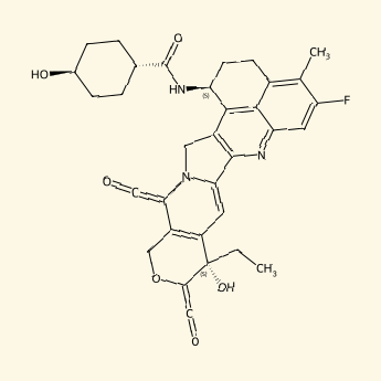 CC[C@@]1(O)C(=C=O)OCC2=C1C=C1c3nc4cc(F)c(C)c5c4c(c3CN1C2=C=O)[C@@H](NC(=O)[C@H]1CC[C@H](O)CC1)CC5